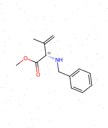 C=C(C)[C@H](NCc1ccccc1)C(=O)OC